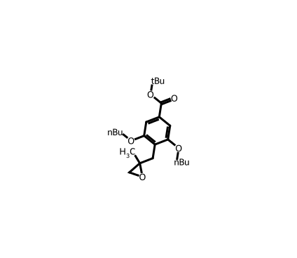 CCCCOc1cc(C(=O)OC(C)(C)C)cc(OCCCC)c1CC1(C)CO1